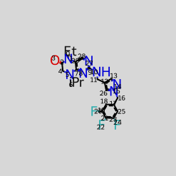 CCN1C(=O)CN(C(C)C)c2nc(NCc3cnn(Cc4cc(F)c(F)c(F)c4)c3)ncc21